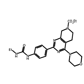 CCNC(=O)Nc1ccc(-c2nc3c(c(N4CCOCC4)n2)CCN(C(=O)OCC)C3)cc1